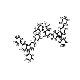 CC1(C)c2cc(-c3ccc4c(c3)c3cc(-c5ccccc5)ccc3n4-c3ccccc3)ccc2-c2c1ccc1c2-c2ccc(-c3ccc4c(c3)c3cc(-c5ccccc5)ccc3n4-c3ccccc3)cc2C1(C)C